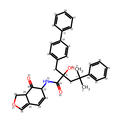 CC(C)(CC(O)(Cc1ccc(-c2ccccc2)cc1)C(=O)NC1C=CC2=COCC2C1=O)c1ccccc1